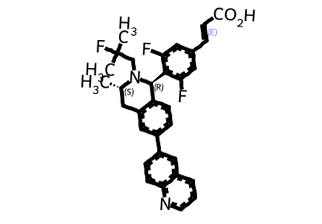 C[C@H]1Cc2cc(-c3ccc4ncccc4c3)ccc2[C@H](c2c(F)cc(/C=C/C(=O)O)cc2F)N1CC(C)(C)F